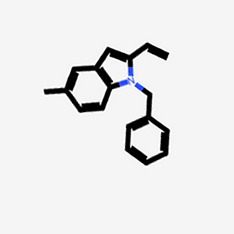 C=Cc1cc2cc(C)ccc2n1Cc1ccccc1